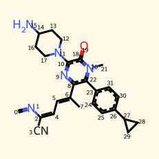 C=N/C(C#N)=C\C=C(/C)c1nc(N2CCC(N)CC2)c(=O)n(C)c1-c1ccc(C2CC2)cc1